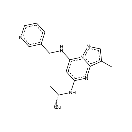 Cc1cnn2c(NCc3cccnc3)cc(N[C@@H](C)C(C)(C)C)nc12